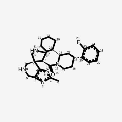 Cc1nc2c(s1)[C@]1(CNC2)CNC[C@H]1C(=O)N1CC[C@@H](c2ccccc2F)C[C@H]1C1CCCCC1